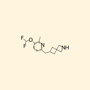 Cc1nc(CC2CC3(CNC3)C2)ccc1OC(F)F